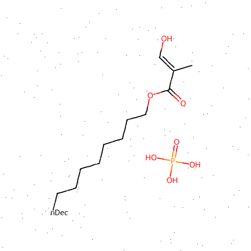 CCCCCCCCCCCCCCCCCCOC(=O)C(C)=CO.O=P(O)(O)O